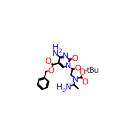 CC(N)N(CC(=O)n1cc(C(=O)OCc2ccccc2)c(N)nc1=O)C(=O)OC(C)(C)C